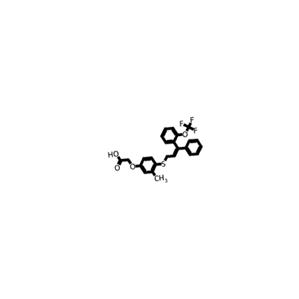 Cc1cc(OCC(=O)O)ccc1SCC=C(c1ccccc1)c1ccccc1OC(F)(F)F